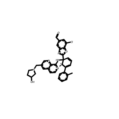 Cc1ccccc1C1=CC=CC(Nc2nccc3cc(CN4CCC(O)C4)cnc23)(c2nc3cc(C=O)cc(Cl)c3o2)[C@@H]1C